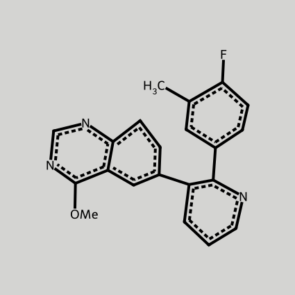 COc1ncnc2ccc(-c3cccnc3-c3ccc(F)c(C)c3)cc12